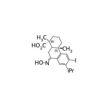 CC(C)c1cc2c(cc1I)[C@@]1(C)CCC[C@@](C)(C(=O)O)C1CC2=NO